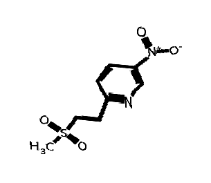 CS(=O)(=O)CCc1ccc([N+](=O)[O-])cn1